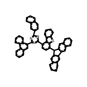 c1ccc2cc(-c3nc(-c4cc5ccccc5c5ccccc45)nc(-c4ccc(C5c6cc7ccccc7cc6-c6cc7ccccc7cc65)c5sc6ccccc6c45)n3)ccc2c1